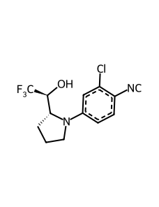 [C-]#[N+]c1ccc(N2CCC[C@@H]2[C@H](O)C(F)(F)F)cc1Cl